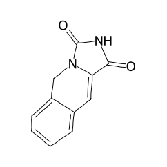 O=C1NC(=O)N2Cc3ccccc3C=C12